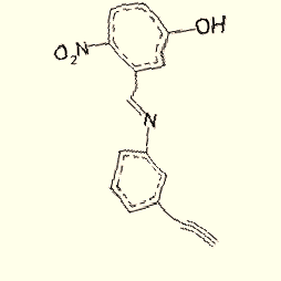 C#Cc1cccc(/N=C/c2cc(O)ccc2[N+](=O)[O-])c1